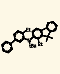 CCc1ccc(-c2ccccc2)cc1N(c1ccc2c(c1CC)C(C)(C)c1ccccc1-2)C(C)(C)C